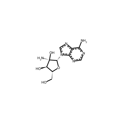 Nc1ncnc2c1ncn2[C@@H]1O[C@H](CO)[C@@H](O)[C@@]1(N)O